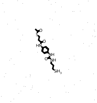 CC(=O)SCCC(=O)Nc1ccc(NC(=O)NCCC[SiH3])cc1